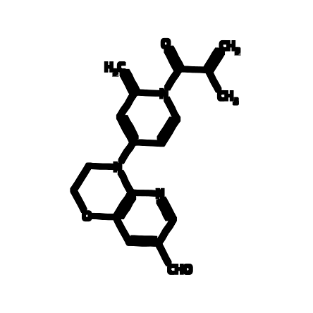 C=C(C)C(=O)N1C=CC(N2CCOc3cc(C=O)cnc32)=CC1=C